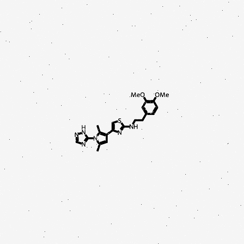 COc1ccc(CCNc2nc(-c3cc(C)n(-c4ncn[nH]4)c3C)cs2)cc1OC